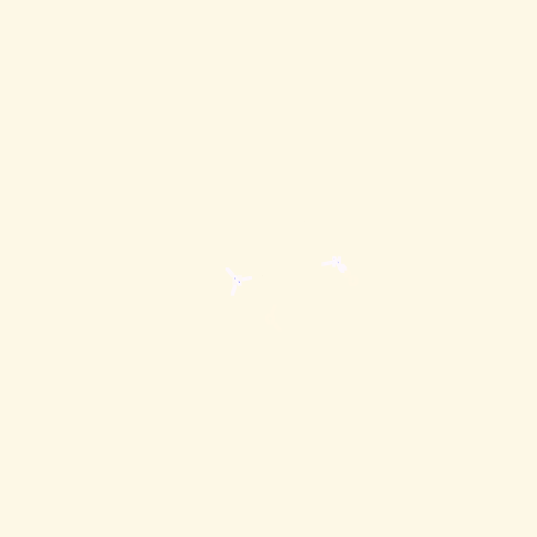 CCCN(CCC)c1cc(C2CC2)c(N=O)cc1OC